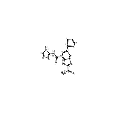 NC(=O)c1nc2cc(-c3ccccc3)cc(C(=O)Nc3ncc[nH]3)c2[nH]1